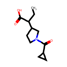 CCC(C(=O)O)C1CCN(C(=O)C2CC2)C1